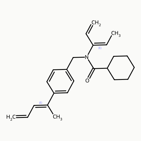 C=C/C=C(\C)c1ccc(CN(C(=O)C2CCCCC2)/C(C=C)=C/C)cc1